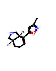 Cc1cc(C2=CCC[C@@H]3CNC[C@H]23)on1